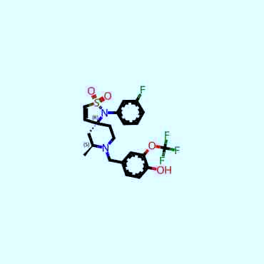 C[C@H]1C[C@@]2(C=CS(=O)(=O)N2c2cccc(F)c2)CCN1Cc1ccc(O)c(OC(F)(F)F)c1